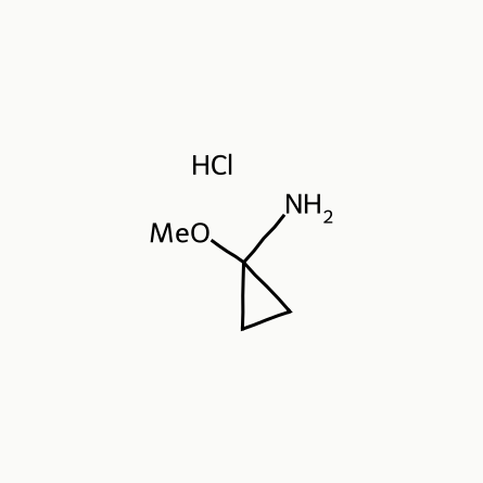 COC1(N)CC1.Cl